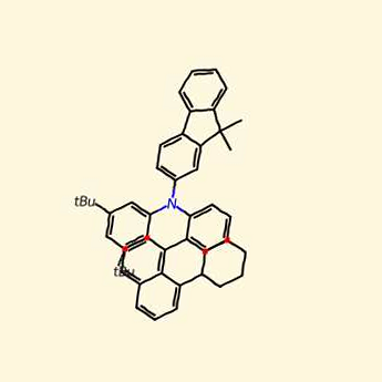 CC(C)(C)c1cc(N(c2ccc3c(c2)C(C)(C)c2ccccc2-3)c2ccccc2-c2cccc3cccc(C4CCCCC4)c23)cc(C(C)(C)C)c1